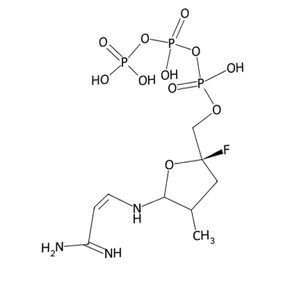 CC1C[C@@](F)(COP(=O)(O)OP(=O)(O)OP(=O)(O)O)OC1N/C=C\C(=N)N